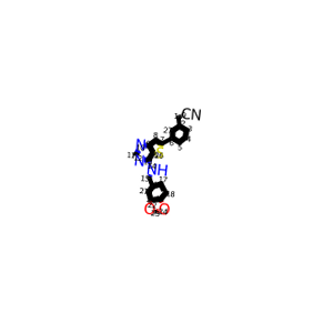 N#CCc1cccc(-c2cc3ncnc(NCc4ccc5c(c4)OCO5)c3s2)c1